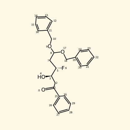 O=C(C[C@@H](O)[C@@H](F)CC(OCc1ccccc1)OCc1ccccc1)c1ccccc1